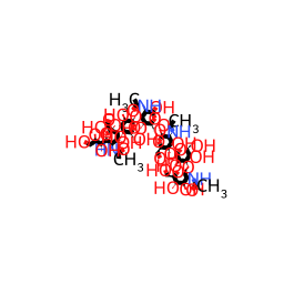 CC(=O)N[C@H]1[C@H](OC[C@H]2OC(O)[C@H](NC(C)=O)[C@@H](O[C@@H]3O[C@H](CO)[C@H](O)[C@H](O[C@]4(C(=O)O)C[C@H](O)[C@@H](NC(C)=O)[C@H]([C@H](O)[C@H](O)CO)O4)[C@H]3O)[C@H]2O)O[C@H](CO)[C@@H](O[C@@H]2O[C@H](CO)[C@H](O)[C@H](O[C@@H]3O[C@H](CO)[C@@H](O)[C@H](O)[C@H]3NC(C)=O)[C@H]2O)[C@@H]1O